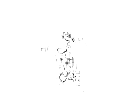 Cn1nnnc1SCC1=C(C(=O)O)N2C(=O)C(NC(=O)C(NC(N)=O)c3ccccc3)[C@@H]2SC1